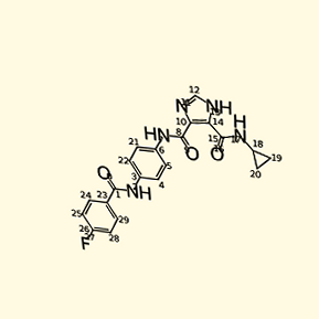 O=C(Nc1ccc(NC(=O)c2nc[nH]c2C(=O)NC2CC2)cc1)c1ccc(F)cc1